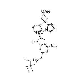 CO[C@H]1C[C@](c2cccc(N3Cc4c(cc(CNCC5(CF)CCC5)cc4C(F)(F)F)C3=O)c2)(c2nncn2C)C1